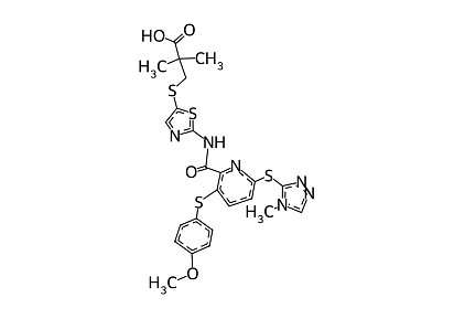 COc1ccc(Sc2ccc(Sc3nncn3C)nc2C(=O)Nc2ncc(SCC(C)(C)C(=O)O)s2)cc1